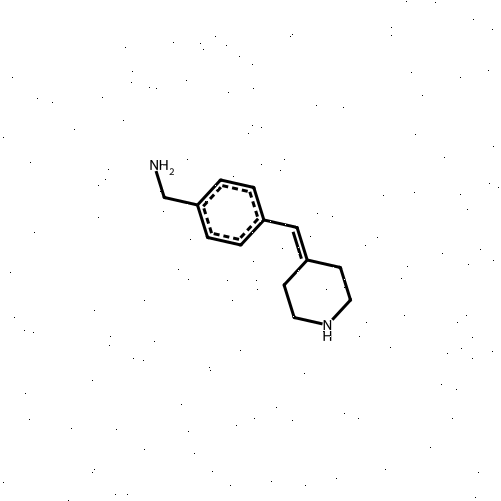 NCc1ccc(C=C2CCNCC2)cc1